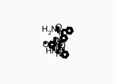 COc1cc(Nc2nc3ccccc3nc2NS(=O)(=O)c2cccc(N(CC(N)=O)Cc3ccccc3)c2)cc(OC)c1